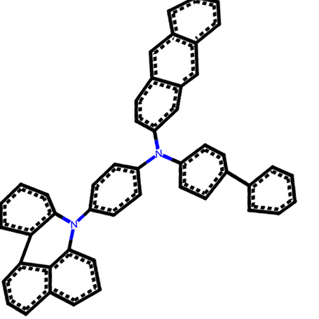 c1ccc(-c2ccc(N(c3ccc(N4c5ccccc5-c5cccc6cccc4c56)cc3)c3ccc4cc5ccccc5cc4c3)cc2)cc1